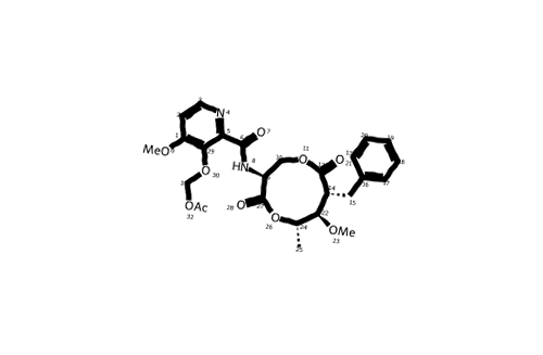 COc1ccnc(C(=O)N[C@H]2COC(=O)[C@H](Cc3ccccc3)[C@@H](OC)[C@H](C)OC2=O)c1OCOC(C)=O